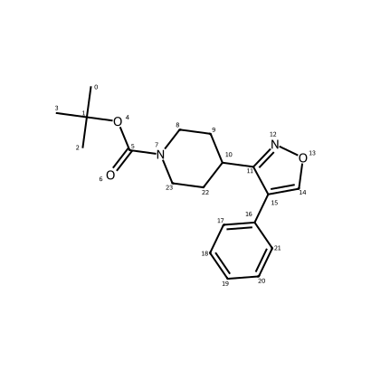 CC(C)(C)OC(=O)N1CCC(c2nocc2-c2ccccc2)CC1